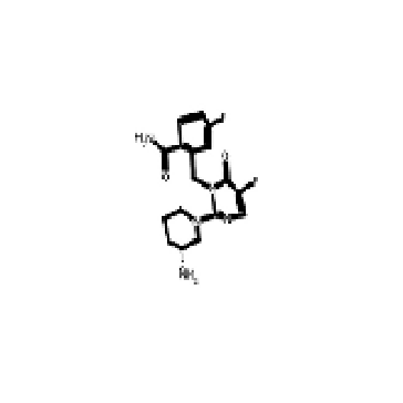 NC(=O)c1ccc(F)cc1Cn1c(N2CCC[C@@H](N)C2)ncc(F)c1=O